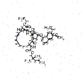 C=CCC(C)(C)COC(=O)N[C@H]1CCCCC/C=C\[C@@H]2C[C@@]2(C(=O)OCC)NC(=O)[C@@H]2C[C@@H](Oc3nccc4cc(OC)c(C=C)cc34)CN2C1=O